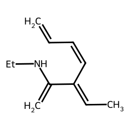 C=C/C=C\C(=C/C)C(=C)NCC